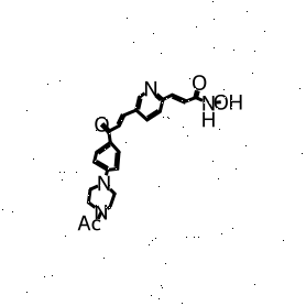 CC(=O)N1CCN(c2ccc(C(=O)C=Cc3ccc(C=CC(=O)NO)nc3)cc2)CC1